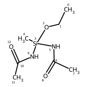 CCO[Si](C)(NC(C)=O)NC(C)=O